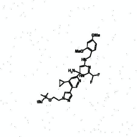 COc1ccc(CNC2=CC(N)(c3cc(C4CC4)c(-c4cnn(CCO[Si](C)(C)C(C)(C)C)c4)cn3)NC(C(F)F)=N2)c(OC)c1